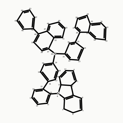 C1=CC2C3=C(CCC=C3)N(c3ccccc3-c3ccc(N(c4cccc(-c5cccc6ccccc56)c4)c4ccc(-c5ccccc5)c5ccccc45)cc3)C2C=C1